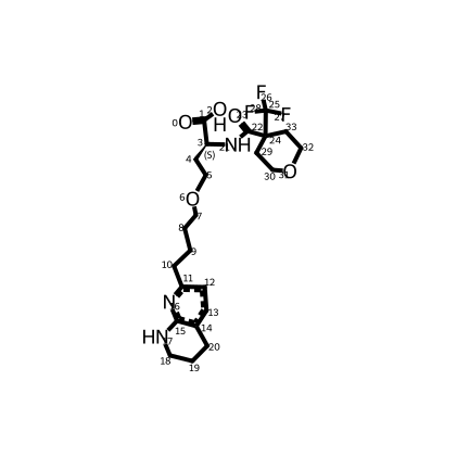 O=C(O)[C@H](CCOCCCCc1ccc2c(n1)NCCC2)NC(=O)C1(C(F)(F)F)CCOCC1